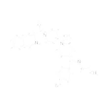 CCON=C(c1ccc(Br)cc1)C1CCN(C2(C)CCN(C(=O)c3cc4ccccc4cn3)CC2)CC1